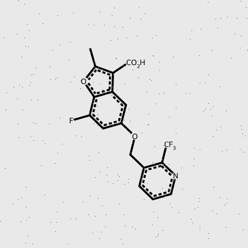 Cc1oc2c(F)cc(OCc3cccnc3C(F)(F)F)cc2c1C(=O)O